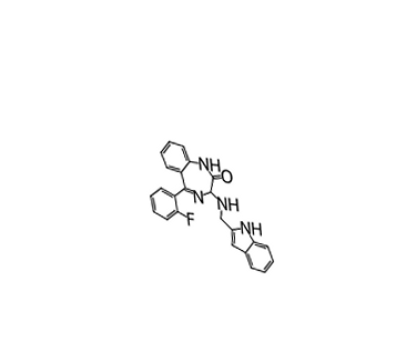 O=C1Nc2ccccc2C(c2ccccc2F)=NC1NCc1cc2ccccc2[nH]1